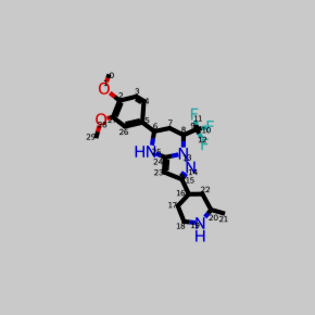 COc1ccc(C2CC(C(F)(F)F)n3nc(C4CCNC(C)C4)cc3N2)cc1OC